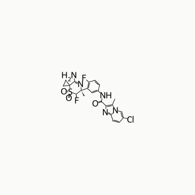 Cc1c(C(=O)Nc2ccc(F)c([C@@]3(C)N=C(N)C4(CC4)S(=O)(=O)[C@@H]3F)c2)nc2ccc(Cl)cn12